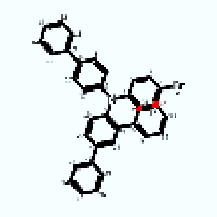 Brc1ccc(N(c2ccc(-c3ccccc3)cc2)c2ccc(-c3ccccc3)cc2-c2ccccc2)cc1